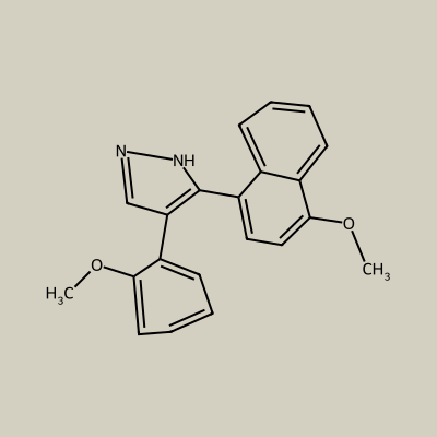 COc1ccccc1-c1cn[nH]c1-c1ccc(OC)c2ccccc12